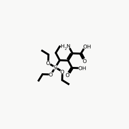 CCO[Si](OCC)(OCC)C(CC)C(C(=O)O)=C(N)C(=O)O